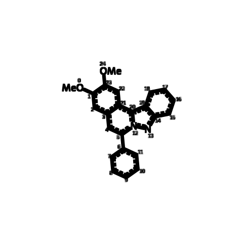 COc1cc2cc(-c3ccccc3)n3nc4ccccc4c3c2cc1OC